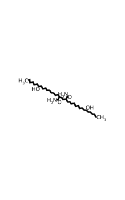 CCCCCCC(O)CCCCCCCCCC(CCC(CCCCCCCCCC(O)CCCCCC)C(N)=O)C(N)=O